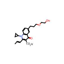 CC=Cc1c(C(=O)O)c(=O)c2cc(CCCOCCO)ccc2n1C1CC1